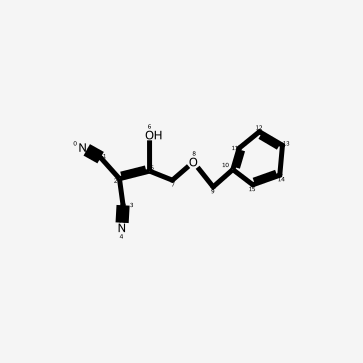 N#CC(C#N)=C(O)COCc1ccccc1